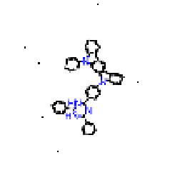 c1ccc(C2N=C(c3ccc(-n4c5ccccc5c5cc6c7ccccc7n(-c7ccccc7)c6cc54)cc3)NC(c3ccccc3)N2)cc1